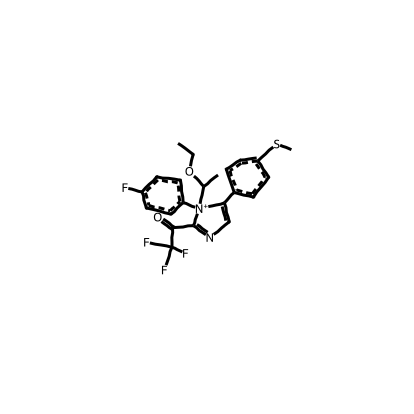 CCOC(C)[N+]1(c2ccc(F)cc2)C(c2ccc(SC)cc2)=CN=C1C(=O)C(F)(F)F